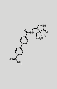 CC1(CC(=O)O)C(=O)NCC1CNC(=O)c1ccc(-c2ccc(C(=N)N)cc2)cc1